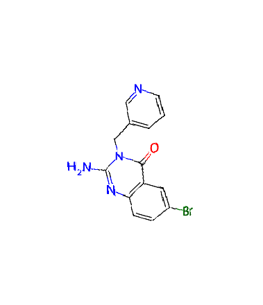 Nc1nc2ccc(Br)cc2c(=O)n1Cc1cccnc1